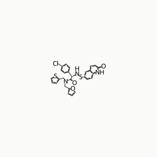 O=C([C@H](NSc1ccc2[nH]c(=O)ccc2c1)c1ccc(Cl)cc1)N(Cc1ccco1)Cc1cccs1